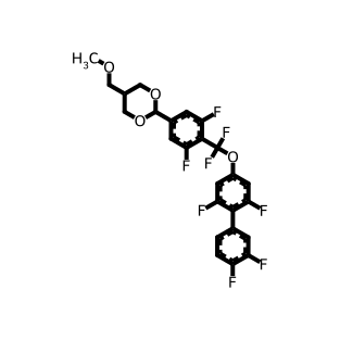 COCC1COC(c2cc(F)c(C(F)(F)Oc3cc(F)c(-c4ccc(F)c(F)c4)c(F)c3)c(F)c2)OC1